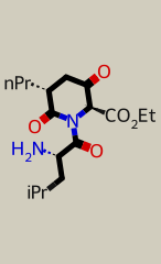 CCC[C@@H]1CC(=O)[C@@H](C(=O)OCC)N(C(=O)[C@@H](N)CC(C)C)C1=O